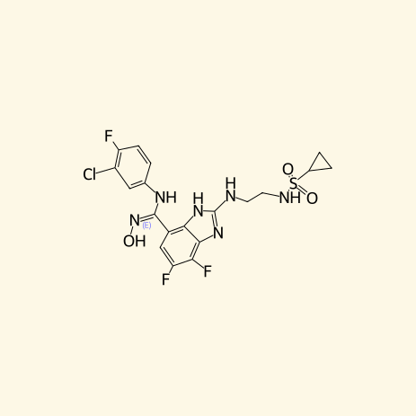 O=S(=O)(NCCNc1nc2c(F)c(F)cc(/C(=N\O)Nc3ccc(F)c(Cl)c3)c2[nH]1)C1CC1